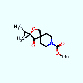 C[C@H]1[SiH2][C@]12OCC1(CCN(C(=O)OC(C)(C)C)CC1)C2=O